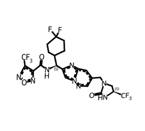 O=C(N[C@H](c1cn2ncc(CN3C[C@@H](C(F)(F)F)NC3=O)cc2n1)C1CCC(F)(F)CC1)c1nonc1C(F)(F)F